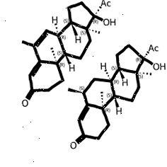 CC(=O)[C@@]1(O)CC[C@H]2[C@@H]3C=C(C)C4=CC(=O)CC[C@]4(C)[C@H]3CC[C@@]21C.CC(=O)[C@@]1(O)CC[C@H]2[C@@H]3C[C@H](C)C4=CC(=O)CC[C@]4(C)[C@H]3CC[C@@]21C